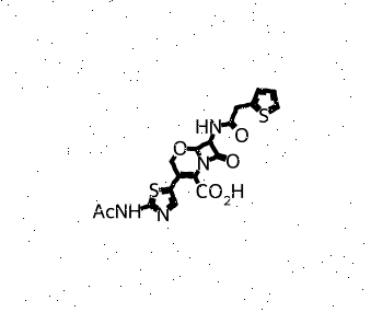 CC(=O)Nc1ncc(C2=C(C(=O)O)N3C(=O)C(NC(=O)Cc4cccs4)C3OC2)s1